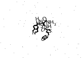 NC(=O)c1nc(Nc2ccc3cnccc3c2)sc1NC(=O)c1csc(CN2CCOCC2)c1